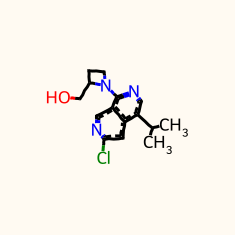 CC(C)c1cnc(N2CCC2CO)c2cnc(Cl)cc12